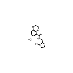 CCN1CCCC1CNC(=O)c1cccc2c1OCCO2.Cl